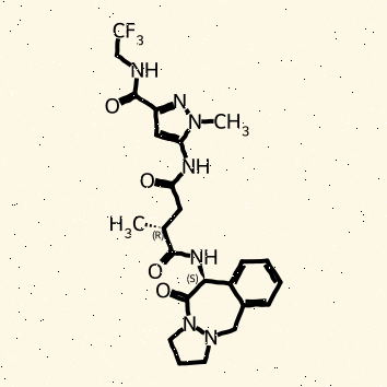 C[C@H](CC(=O)Nc1cc(C(=O)NCC(F)(F)F)nn1C)C(=O)N[C@@H]1C(=O)N2CCCN2Cc2ccccc21